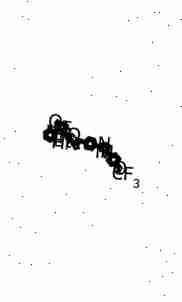 CCc1cccc(C)c1N1C(=O)CS/C1=N\C(=O)NC(C)Cc1ccc(-c2ncn(-c3ccc(OC(F)(F)F)cc3)n2)cc1